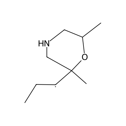 CC[CH]C1(C)CNCC(C)O1